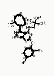 CC(C)(O)CNc1nc(Oc2ccc(F)cc2F)nc2[nH]nc(-c3ccccc3Cl)c12